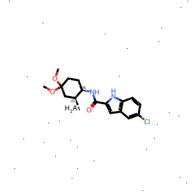 COC1(OC)CC[C@@H](NC(=O)c2cc3cc(Cl)ccc3[nH]2)[C@@H]([AsH2])C1